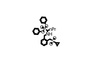 CCCC(NCc1ccccc1CS(=O)(=O)C1CC1)P(=O)(Oc1ccccc1)Oc1ccccc1